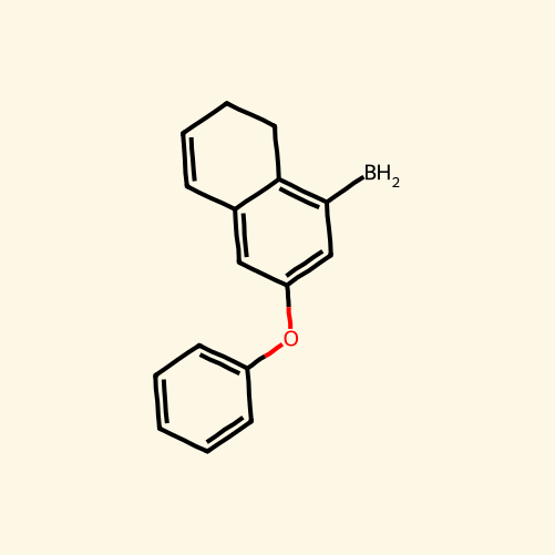 Bc1cc(Oc2ccccc2)cc2c1CCC=C2